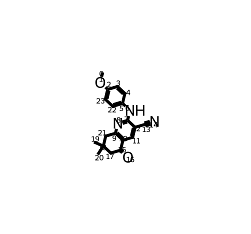 COc1ccc(Nc2nc3c(cc2C#N)C(=O)CC(C)(C)C3)cc1